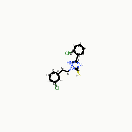 S=c1nc(-c2ccccc2Cl)[nH]n1CCc1cccc(Cl)c1